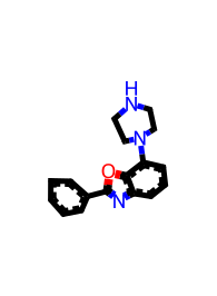 c1ccc(-c2nc3cccc(N4CCNCC4)c3o2)cc1